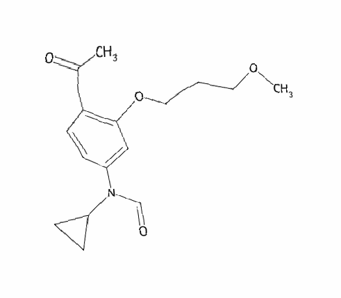 COCCCOc1cc(N(C=O)C2CC2)ccc1C(C)=O